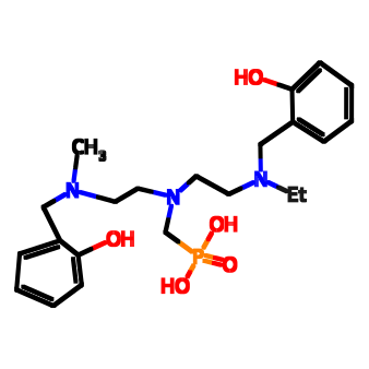 CCN(CCN(CCN(C)Cc1ccccc1O)CP(=O)(O)O)Cc1ccccc1O